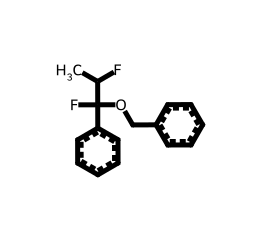 CC(F)C(F)(OCc1ccccc1)c1ccccc1